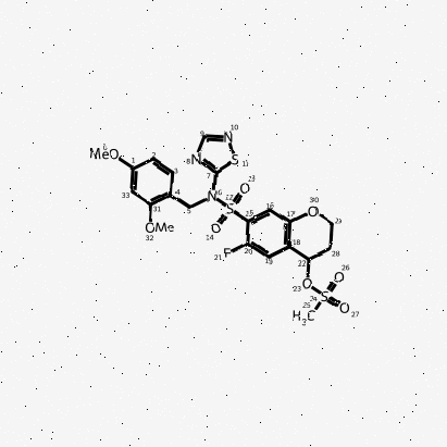 COc1ccc(CN(c2ncns2)S(=O)(=O)c2cc3c(cc2F)C(OS(C)(=O)=O)CCO3)c(OC)c1